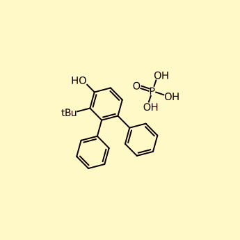 CC(C)(C)c1c(O)ccc(-c2ccccc2)c1-c1ccccc1.O=P(O)(O)O